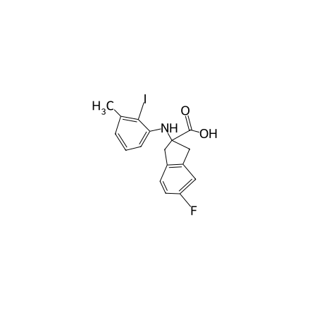 Cc1cccc(NC2(C(=O)O)Cc3ccc(F)cc3C2)c1I